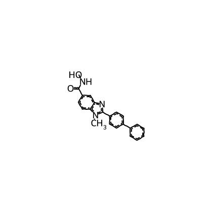 Cn1c(-c2ccc(-c3ccccc3)cc2)nc2cc(C(=O)NO)ccc21